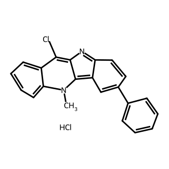 Cl.Cn1c2c3cc(-c4ccccc4)ccc3nc-2c(Cl)c2ccccc21